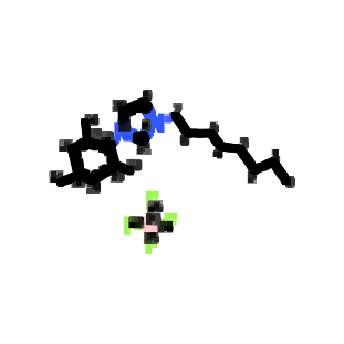 CCCCCCCC[n+]1ccn(-c2c(C)cc(C)cc2C)c1.F[B-](F)(F)F